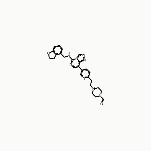 O=CN1CCN(CCc2ccc(-c3cnc(NCc4cccc5c4CCO5)n4cnnc34)cn2)CC1